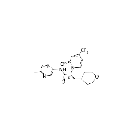 Cc1cnc(NC(=O)[C@H](CC2CCOCC2)n2ccc(C(F)(F)F)cc2=O)cn1